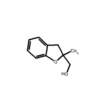 CC1(CO)Cc2ccccc2O1